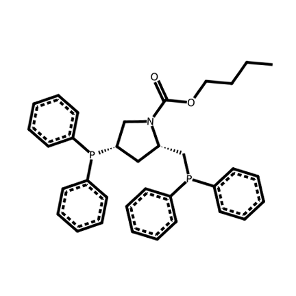 CCCCOC(=O)N1C[C@@H](P(c2ccccc2)c2ccccc2)C[C@H]1CP(c1ccccc1)c1ccccc1